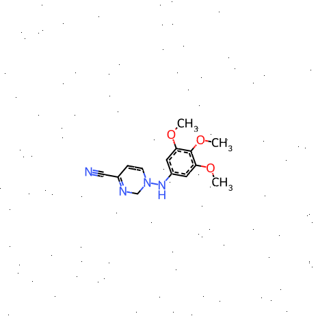 COc1cc(NN2C=CC(C#N)=NC2)cc(OC)c1OC